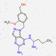 CCCC(N)Nc1nc(N)nc2cnn(Cc3ccc(CO)cc3OC)c12